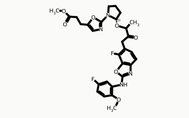 COC(=O)CCc1cnc(N2CCC[C@@H]2OC(C)C(=O)Cc2ccc3nc(Nc4cc(F)ccc4OC)oc3c2F)o1